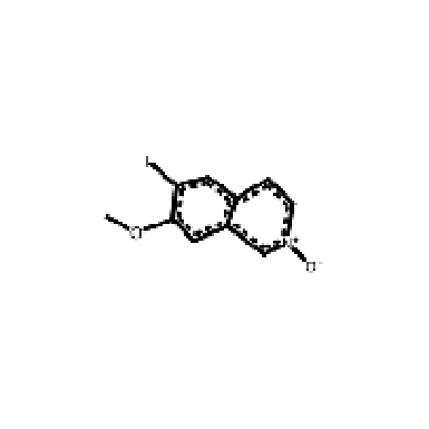 COc1cc2c[n+]([O-])ccc2cc1I